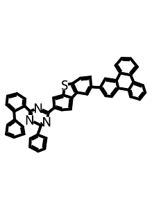 c1ccc(-c2nc(-c3ccc4c(c3)sc3ccc(-c5ccc6c7ccccc7c7ccccc7c6c5)cc34)nc(-c3ccccc3-c3ccccc3)n2)cc1